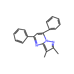 Cc1nn2c(-c3ccccc3)cc(-c3ccccc3)nc2c1C